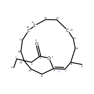 CCCC(=O)O/C1=C\C(C)CCCCCCCCCCCC1